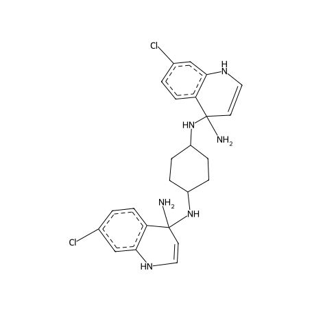 NC1(NC2CCC(NC3(N)C=CNc4cc(Cl)ccc43)CC2)C=CNc2cc(Cl)ccc21